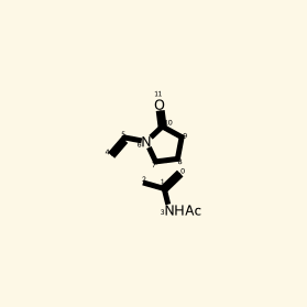 C=C(C)NC(C)=O.C=CN1CCCC1=O